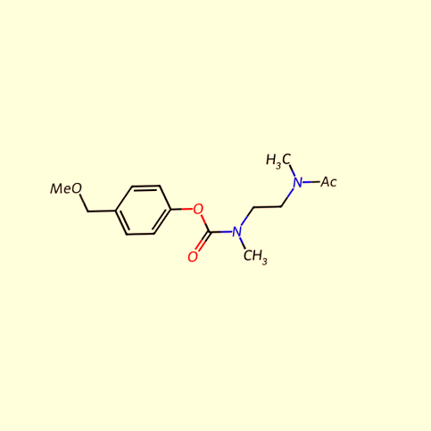 COCc1ccc(OC(=O)N(C)CCN(C)C(C)=O)cc1